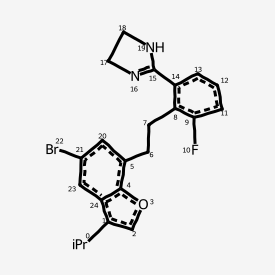 CC(C)c1coc2c(CCc3c(F)cccc3C3=NCCN3)cc(Br)cc12